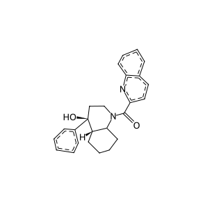 O=C(c1ccc2ccccc2n1)N1CC[C@@](O)(c2ccccc2)[C@H]2CCCCC21